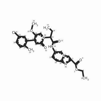 CCOC(=O)c1cn2cc(NC(=O)C(CC)n3cc(OC)c(-c4cc(Cl)ccc4C)cc3=O)ccc2n1